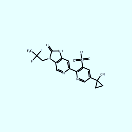 CCS(=O)(=O)c1cc(C2(C#N)CC2)cnc1-c1cc2[nH]c(=O)n(CC(F)(F)C(F)(F)F)c2cn1